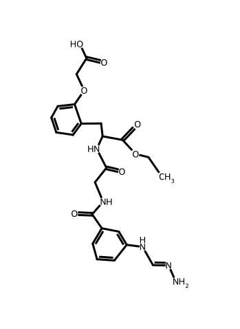 CCOC(=O)C(Cc1ccccc1OCC(=O)O)NC(=O)CNC(=O)c1cccc(NC=NN)c1